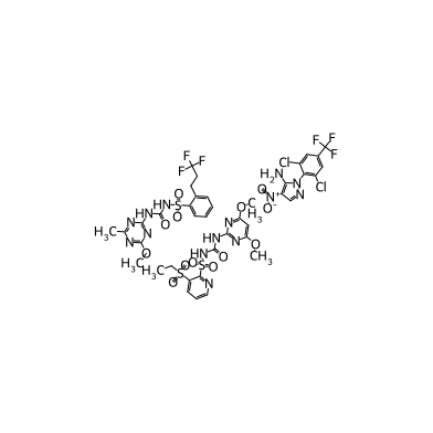 CCS(=O)(=O)c1cccnc1S(=O)(=O)NC(=O)Nc1nc(OC)cc(OC)n1.COc1nc(C)nc(NC(=O)NS(=O)(=O)c2ccccc2CCC(F)(F)F)n1.Nc1c([N+](=O)[O-])cnn1-c1c(Cl)cc(C(F)(F)F)cc1Cl